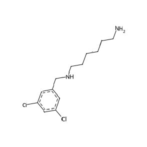 NCCCCCCNCc1cc(Cl)cc(Cl)c1